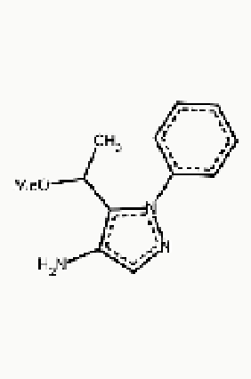 COC(C)c1c(N)cnn1-c1ccccc1